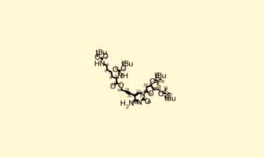 CC(C)(C)OC(=O)NCCCCC(NC(=O)OC(C)(C)C)C(=O)OCC#Cc1cn([C@H]2CC(O[Si](C)(C)C(C)(C)C)[C@@H](CO[Si](C)(C)C(C)(C)C)O2)c(=O)nc1N